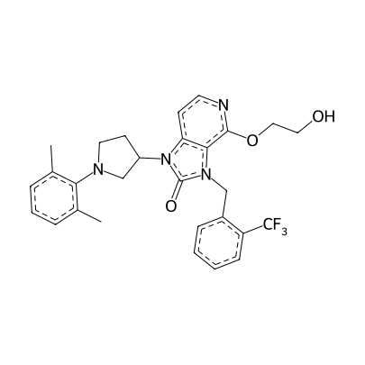 Cc1cccc(C)c1N1CCC(n2c(=O)n(Cc3ccccc3C(F)(F)F)c3c(OCCO)nccc32)C1